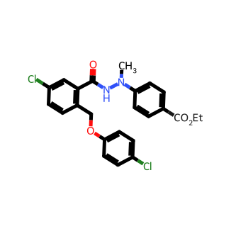 CCOC(=O)c1ccc(N(C)NC(=O)c2cc(Cl)ccc2COc2ccc(Cl)cc2)cc1